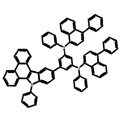 c1ccc(-c2ccc(N(c3ccccc3)c3cc(-c4ccc5c(c4)c4c6ccccc6c6ccccc6c4n5-c4ccccc4)cc(N(c4ccccc4)c4ccc(-c5ccccc5)c5ccccc45)c3)c3ccccc23)cc1